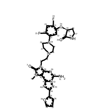 Cn1c(=O)n(CCN2CCN(c3cc(O[C@H]4CCNC4=O)c(F)cc3F)CC2)c2nc(N)n3nc(-c4ccco4)nc3c21